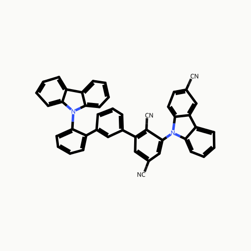 N#Cc1cc(-c2cccc(-c3ccccc3-n3c4ccccc4c4ccccc43)c2)c(C#N)c(-n2c3ccccc3c3cc(C#N)ccc32)c1